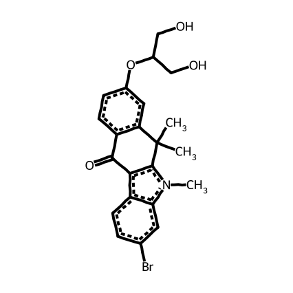 Cn1c2c(c3ccc(Br)cc31)C(=O)c1ccc(OC(CO)CO)cc1C2(C)C